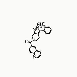 Cn1nc2c(c1-c1ccccc1C(F)(F)F)CCN(C(=O)c1ccc3ncccc3c1)C2